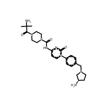 CC(C)(N)C(=O)N1CCN(C(=O)Nc2ccn(-c3ccc(CN4CC[C@@H](N)C4)cc3)c(=O)n2)CC1